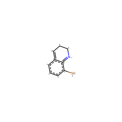 Sc1cccc2c1=NCCC=2